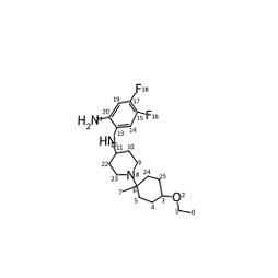 CCOC1CCC(C)(N2CCC(Nc3cc(F)c(F)cc3N)CC2)CC1